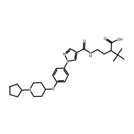 CC(C)(C)C(CCNC(=O)c1cnn(-c2ccc(OC3CCN(C4CCCC4)CC3)cc2)c1)C(=O)O